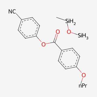 CCCOc1ccc(C(=O)Oc2ccc(C#N)cc2)cc1.C[SiH2]O[SiH3]